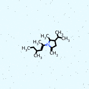 C=C1CC(C(C)C)C(C)N1/C(C)=C/C(C)CC